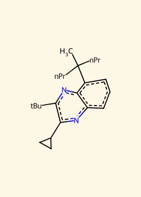 CCCC(C)(CCC)c1cccc2nc(C3CC3)c(C(C)(C)C)nc12